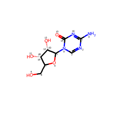 Nc1ncn(C2OC(CO)[C@H](O)[C@@H]2O)c(=O)n1